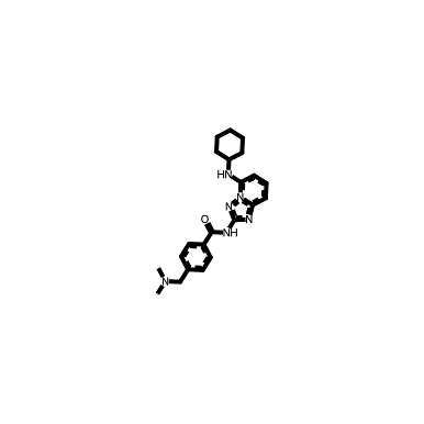 CN(C)Cc1ccc(C(=O)Nc2nc3cccc(NC4CCCCC4)n3n2)cc1